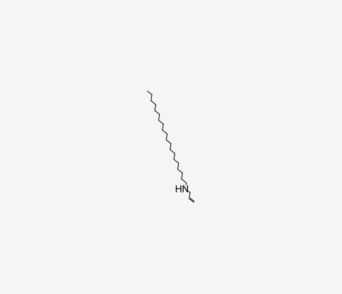 C=CCNCCCCCCCCCCCCCCCCCCCC